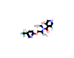 CCN(C(=O)c1c(F)cncc1Br)C(C)COc1ccc(C(F)(F)F)cn1